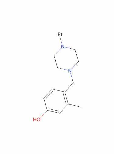 CCN1CCN(Cc2ccc(O)cc2C)CC1